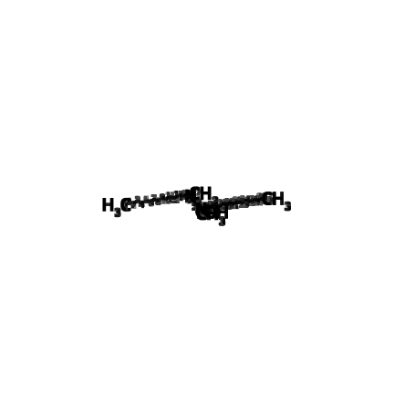 CCCCCCCCCCCCCCCCN(C)CCCN(C)CC(O)CCCCCCCCCCCCCC